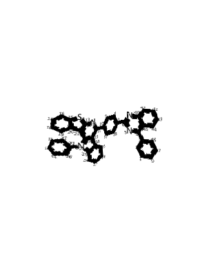 c1ccc(-c2nc(-c3ccc(-c4nc5sc6ccccc6c5c5c4c4ccccc4n5-c4ccccc4)cc3)nc3ccccc23)cc1